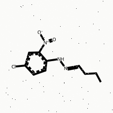 CCC/C=N/Nc1ccc(Cl)cc1[N+](=O)[O-]